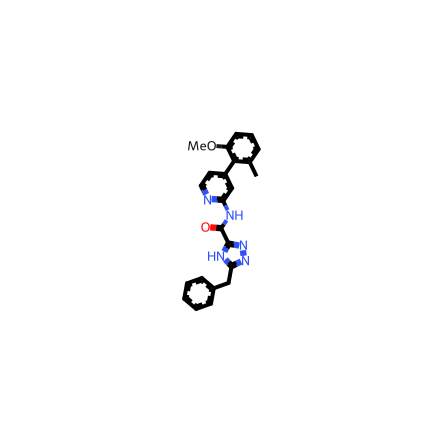 COc1cccc(C)c1-c1ccnc(NC(=O)c2nnc(Cc3ccccc3)[nH]2)c1